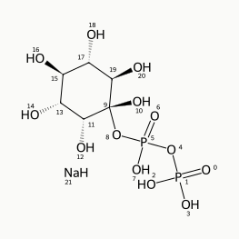 O=P(O)(O)OP(=O)(O)O[C@]1(O)[C@H](O)[C@H](O)[C@@H](O)[C@H](O)[C@H]1O.[NaH]